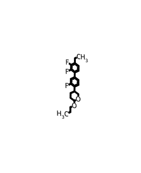 CCCOC1CCC(c2ccc(-c3ccc(CC)c(F)c3F)cc2F)CO1